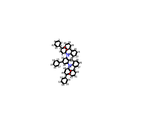 c1ccc(-c2ccc(N3c4cc(-c5ccccc5)cc5c4B(c4cccc(-c6ccccc6)c43)c3cccc(-c4ccccc4)c3N5c3ccc(-c4ccccc4)cc3)cc2)cc1